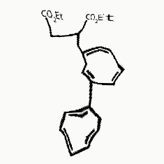 CCOC(=O)CC(C(=O)OCC)c1cccc(-c2ccccc2)c1